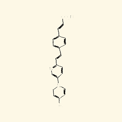 CC(=O)C1=CCN(c2ccc(/C=C/c3ccc(/C=C/C(=O)O)cc3)nc2)C=C1